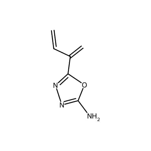 C=CC(=C)c1nnc(N)o1